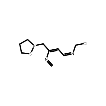 C=N/C(=C\C=N/CCl)CN1CCCS1